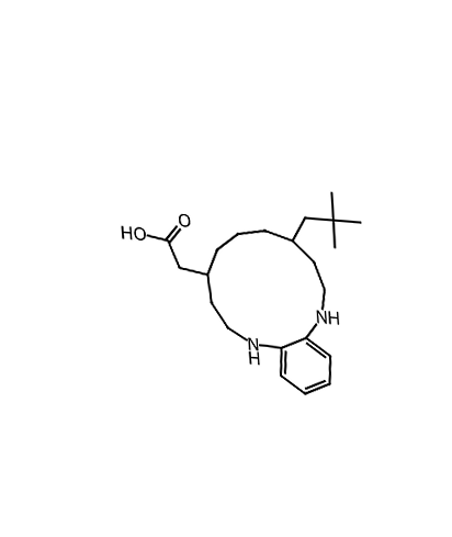 CC(C)(C)CC1CCCC(CC(=O)O)CCNc2ccccc2NCC1